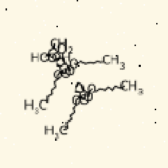 C=C(CC(=O)O)C(=O)O.CCCCCCCCOC(=O)c1ccccc1C(=O)OCCCCCCCC.CCCCCCCCOC(=O)c1ccccc1C(=O)OCCCCCCCC